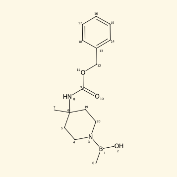 CB(O)N1CCC(C)(NC(=O)OCc2ccccc2)CC1